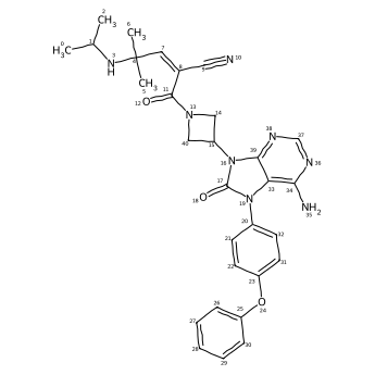 CC(C)NC(C)(C)/C=C(/C#N)C(=O)N1CC(n2c(=O)n(-c3ccc(Oc4ccccc4)cc3)c3c(N)ncnc32)C1